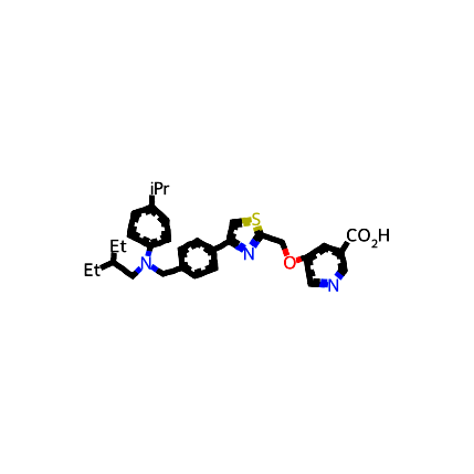 CCC(CC)CN(Cc1ccc(-c2csc(COc3cncc(C(=O)O)c3)n2)cc1)c1ccc(C(C)C)cc1